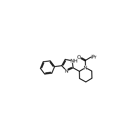 CC(C)C(=O)N1CCCCC1c1nc(-c2ccccc2)c[nH]1